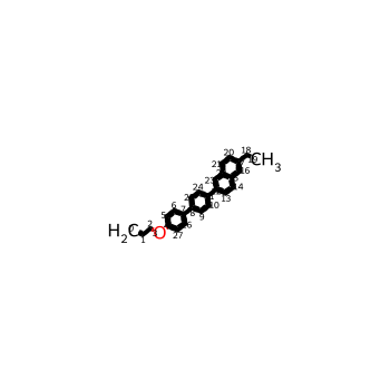 C=CCOc1ccc(-c2ccc(-c3ccc4cc(CC)ccc4c3)cc2)cc1